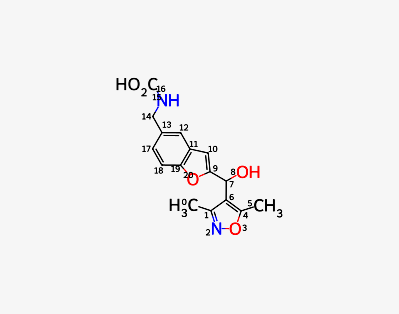 Cc1noc(C)c1C(O)c1cc2cc(CNC(=O)O)ccc2o1